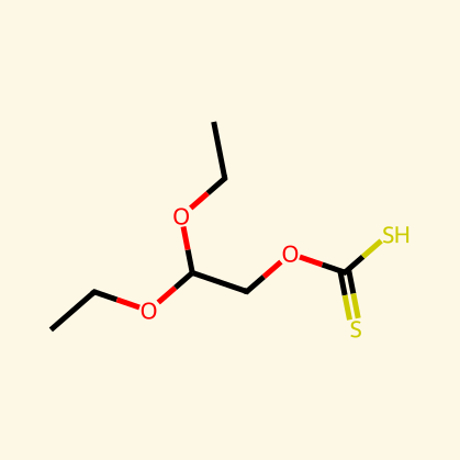 CCOC(COC(=S)S)OCC